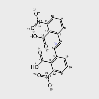 O=C(O)c1c(/C=C/c2cccc([N+](=O)[O-])c2C(=O)O)cccc1[N+](=O)[O-]